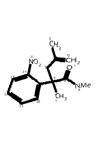 C=C(C)CC(C)(C(=O)NC)c1ccccc1[N+](=O)[O-]